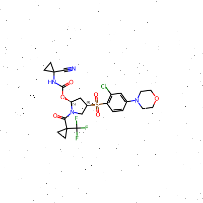 N#CC1(NC(=O)O[C@H]2C[C@@H](S(=O)(=O)c3ccc(N4CCOCC4)cc3Cl)CN2C(=O)C2(C(F)(F)F)CC2)CC1